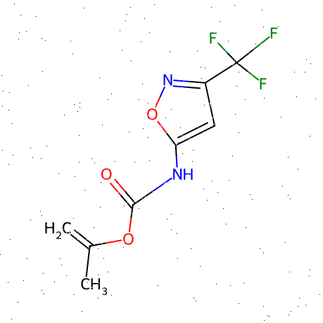 C=C(C)OC(=O)Nc1cc(C(F)(F)F)no1